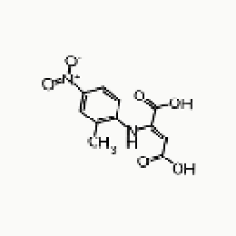 Cc1cc([N+](=O)[O-])ccc1N/C(=C\C(=O)O)C(=O)O